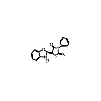 CCN1/C(=C2\SC(=S)N(c3ccccc3)C2=O)Oc2ccccc21